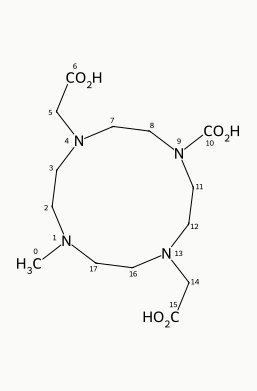 CN1CCN(CC(=O)O)CCN(C(=O)O)CCN(CC(=O)O)CC1